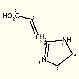 C1=NCCN1.C=CC(=O)O